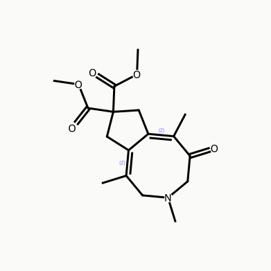 COC(=O)C1(C(=O)OC)CC2=C(\C)CN(C)CC(=O)/C(C)=C\2C1